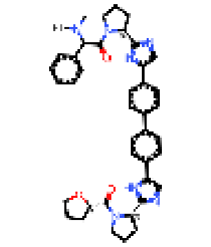 CCN(C)C(C(=O)N1CCC[C@H]1c1ncc(-c2ccc(-c3ccc(-c4cnc([C@@H]5CCCN5C(=O)[C@@H]5CCCO5)[nH]4)cc3)cc2)[nH]1)c1ccccc1